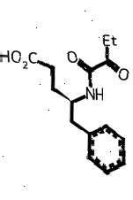 CCC(=O)C(=O)N[C@H](CCC(=O)O)Cc1ccccc1